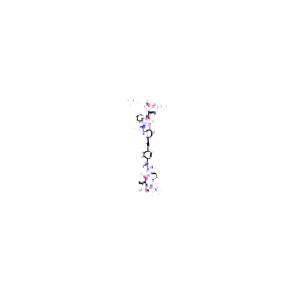 COC(=O)N[C@H](C(=O)N1CCC[C@H]1c1ncc(-c2ccc(C#Cc3ccc4nc([C@@H]5CCCN5C(=O)[C@@H](NC(=O)OC)[C@@H](C)OC)[nH]c4n3)cc2)[nH]1)[C@@H](C)OC